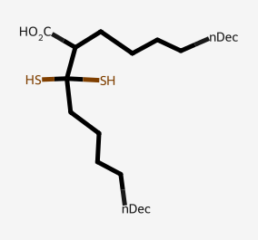 CCCCCCCCCCCCCCC(C(=O)O)C(S)(S)CCCCCCCCCCCCCC